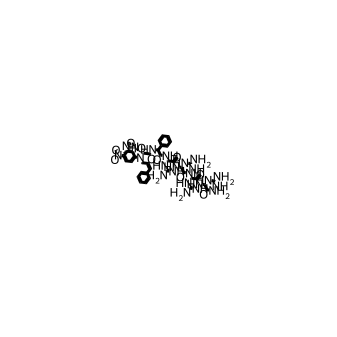 N=C(N)NC(NC(=O)C(NC(=N)N)NC(=O)C(NC(=N)N)NC(=O)C(NC(=N)N)NC(=O)C(NC(=O)C(O)N(C/C=C\c1ccccc1)c1ccc([N+](=O)[O-])c2nonc12)c1ccccc1)C(N)=O